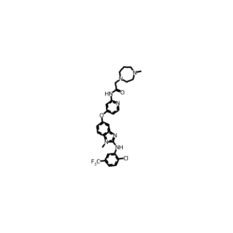 CN1CCCN(CC(=O)Nc2cc(Oc3ccc4c(c3)nc(Nc3cc(C(F)(F)F)ccc3Cl)n4C)ccn2)CC1